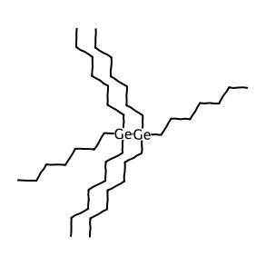 CCCCCC[CH2][Ge]([CH2]CCCCCC)([CH2]CCCCCC)[Ge]([CH2]CCCCCC)([CH2]CCCCCC)[CH2]CCCCCC